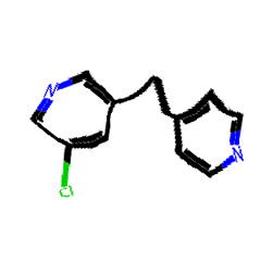 Clc1cncc([CH]c2ccncc2)c1